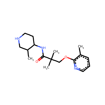 Cc1cccnc1OCC(C)(C)C(=O)NC1CCNCC1C